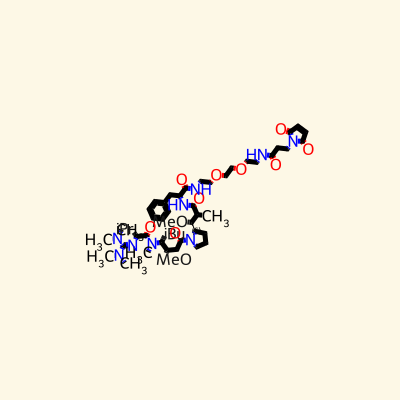 CCC(C)C(C(CC(=O)N1CCC[C@H]1C(OC)C(C)C(=O)NC(Cc1ccccc1)C(=O)NCCOCCOCCNC(=O)CCN1C(=O)C=CC1=O)OC)N(C)C(=O)C(N=C(N(C)C)N(C)C)C(C)C